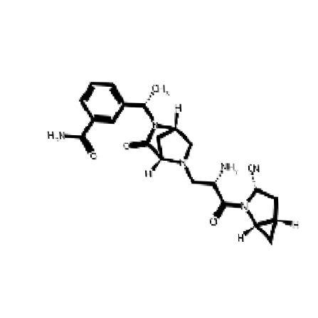 C[C@@H](c1cccc(C(N)=O)c1)N1C(=O)[C@@H]2C[C@H]1CN2C[C@H](N)C(=O)N1[C@H](C#N)C[C@@H]2C[C@@H]21